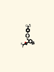 COC(=O)c1ccc(N2CCN(CC3=C(C45CC(C(F)F)(C4)C5)CC4(CCC4)CC3)CC2)cc1